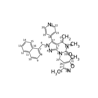 C=C1c2c(nn(Cc3cccc4ccccc34)c2-c2ccncc2)N(Cc2c(C)noc2C)C(=O)N1C